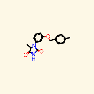 Cc1ccc(COc2cccc(N3C(=O)NC(=O)C3C)c2)cc1